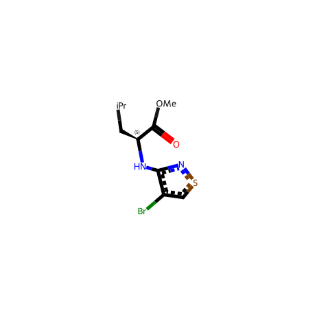 COC(=O)[C@H](CC(C)C)Nc1nscc1Br